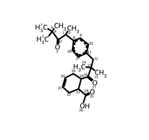 CC(C(=O)C(C)(C)C)c1ccc(CC(C)(C)C(=O)C2CC=CCC2C(=O)O)cc1